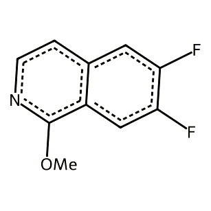 COc1nccc2cc(F)c(F)cc12